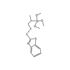 CO[Si](OC)(OC)C(C)CSSc1nc2ccccc2s1